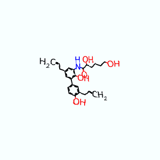 C=CCc1cc(NC(=O)C(O)CCCCO)c(O)c(-c2ccc(O)c(CC=C)c2)c1